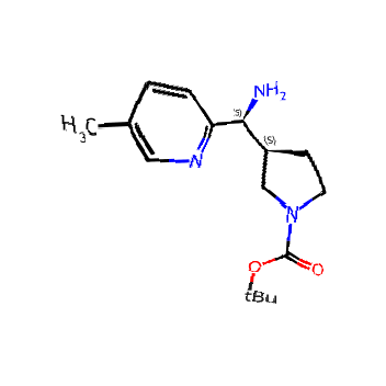 Cc1ccc([C@@H](N)[C@H]2CCN(C(=O)OC(C)(C)C)C2)nc1